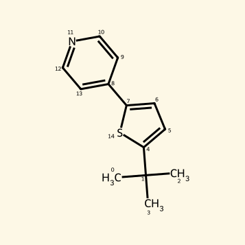 CC(C)(C)c1ccc(-c2ccncc2)s1